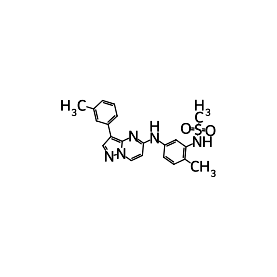 Cc1cccc(-c2cnn3ccc(Nc4ccc(C)c(NS(C)(=O)=O)c4)nc23)c1